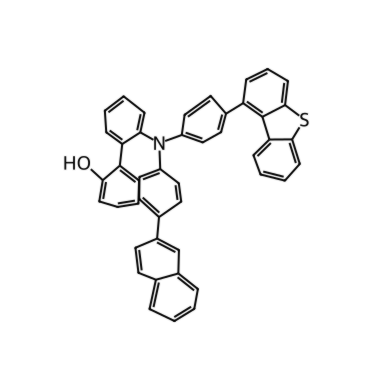 Oc1ccccc1-c1ccccc1N(c1ccc(-c2ccc3ccccc3c2)cc1)c1ccc(-c2cccc3sc4ccccc4c23)cc1